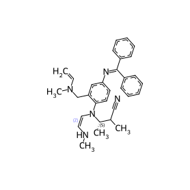 C=CN(C)Cc1cc(N=C(c2ccccc2)c2ccccc2)ccc1N(/C=C\NC)[C@@H](C)C(C)C#N